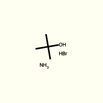 Br.CC(C)(C)O.N